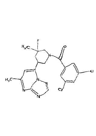 Cc1cc(C2CN(C(=O)c3cc(Cl)cc(Cl)c3)CC(C)(F)C2)n2ncnc2n1